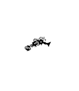 Cc1cc(C#CC2CC2)ccc1Cn1c(C)cc(OC[C@H]2COCCO2)cc1=O